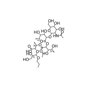 CCCOC(OC(C(=O)O)[C@@H](C)O[C@H](OCC)C(O[C@@H]1O[C@@H](C)C(O)C(O)C1OC1OC(CO)C(O)C(O)C1NC(C)=O)C(O)[C@H](C)O)[C@@H](O)CO